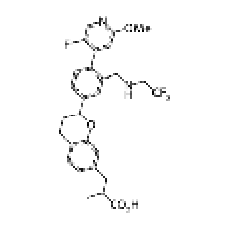 COc1cc(-c2ccc(C3CCc4ccc(CC(C)C(=O)O)cc4O3)cc2CNCC(F)(F)F)c(F)cn1